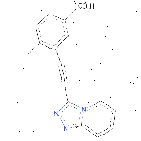 Cc1ccc(C(=O)O)cc1C#Cc1nnc2ccccn12